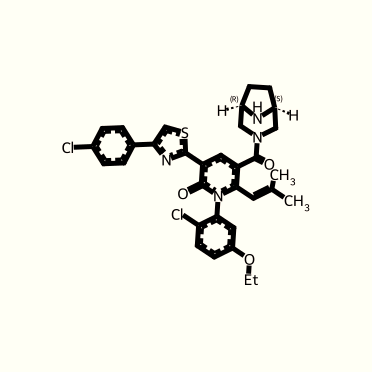 CCOc1ccc(Cl)c(-n2c(C=C(C)C)c(C(=O)N3C[C@H]4CC[C@@H](C3)N4)cc(-c3nc(-c4ccc(Cl)cc4)cs3)c2=O)c1